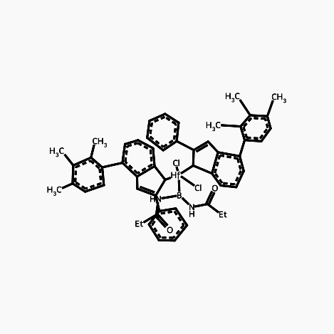 CCC(=O)N[B](NC(=O)CC)[Hf]([Cl])([Cl])([CH]1C(c2ccccc2)=Cc2c(-c3ccc(C)c(C)c3C)cccc21)[CH]1C(c2ccccc2)=Cc2c(-c3ccc(C)c(C)c3C)cccc21